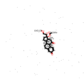 CCOC(=O)OCC(=O)[C@@]1(OC(=O)OC)CC[C@H]2[C@@H]3CCC4=CC(=O)C=C[C@]4(C)[C@H]3C(=O)C[C@@]21C